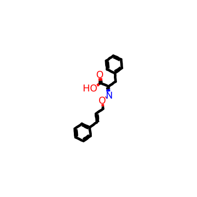 O=C(O)/C(Cc1ccccc1)=N\OC/C=C/c1ccccc1